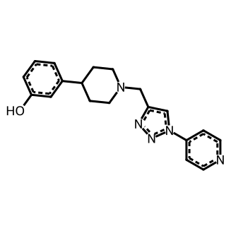 Oc1cccc(C2CCN(Cc3cn(-c4ccncc4)nn3)CC2)c1